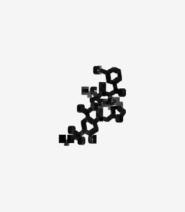 C[C@@H](NC(C)(C)COC(=O)c1cc(S(N)(=O)=O)c(Cl)cc1NCc1ccco1)C(=O)c1cccc(Cl)c1